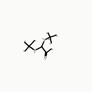 CC(=O)C(SC(C)(C)C)SC(C)(C)C